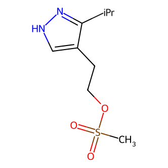 CC(C)c1n[nH]cc1CCOS(C)(=O)=O